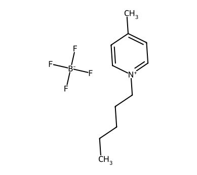 CCCCC[n+]1ccc(C)cc1.F[B-](F)(F)F